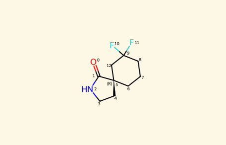 O=C1NCC[C@@]12CCCC(F)(F)C2